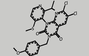 COc1ccc(Cn2c(=O)c3cc(Cl)c(Cl)nc3n(-c3c(SC)ccnc3C(C)C)c2=O)cc1